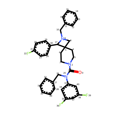 O=C(N1CCC2(CC1)CN(Cc1ccccc1)C2c1ccc(F)cc1)N(Cc1ccccc1)c1cc(F)cc(F)c1